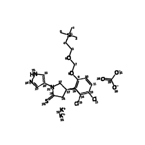 C[Si](C)(C)CCOCOc1ccc(Cl)c(Cl)c1[C@H]1CC(=S)N(c2cn[nH]c2)C1.O=C([O-])[O-].[K+].[K+]